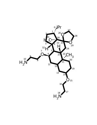 CC(C)[C@H]1CC[C@H]2C3[C@H](OCCN)CC4CC(OCCN)CC[C@]4(C)[C@H]3CC3(OCCO3)[C@]12C